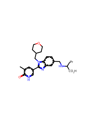 Cc1cc(-c2nc3cc(CNC(C(=O)O)C(C)C)ccc3n2CC2CCOCC2)c[nH]c1=O